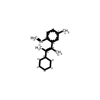 C=Nc1ccc(C)cc1/C(C)=C(\C)C1CCCCC1